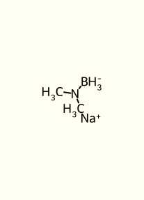 [BH3-]N(C)C.[Na+]